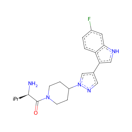 CC(C)[C@@H](N)C(=O)N1CCC(n2cc(-c3c[nH]c4cc(F)ccc34)cn2)CC1